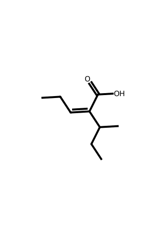 CCC=C(C(=O)O)C(C)CC